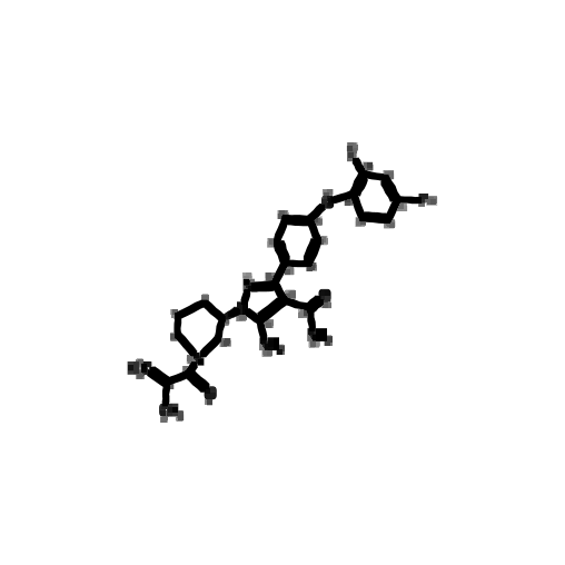 C=C(C)C(=O)N1CCC[C@@H](n2nc(-c3ccc(Oc4ccc(F)cc4F)cc3)c(C(N)=O)c2N)C1